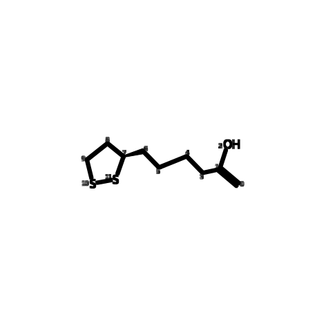 C=C(O)CCCC[C@@H]1CCSS1